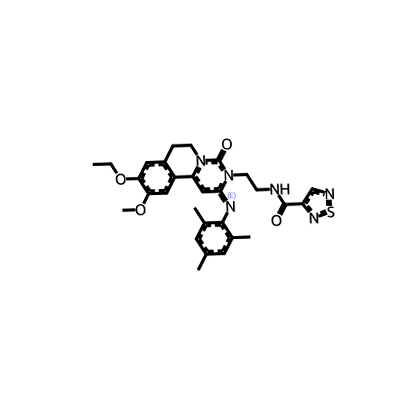 CCOc1cc2c(cc1OC)-c1c/c(=N\c3c(C)cc(C)cc3C)n(CCNC(=O)c3cnsn3)c(=O)n1CC2